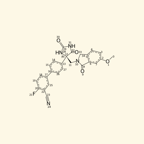 COc1ccc2c(c1)C(=O)N(C[C@@]1(c3ccc(-c4ccc(F)c(C#N)c4)cc3)NC(=O)NC1=O)C2